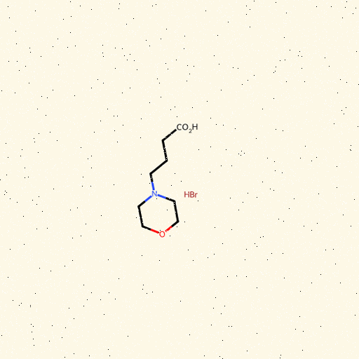 Br.O=C(O)CCCN1CCOCC1